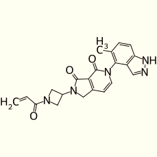 C=CC(=O)N1CC(N2Cc3ccn(-c4c(C)ccc5[nH]ncc45)c(=O)c3C2=O)C1